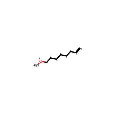 C=CCCCCCCO[CH]C